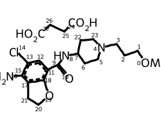 COCCCN1CCC(NC(=O)c2cc(Cl)c(N)c3c2OCC3)CC1.O=C(O)CCC(=O)O